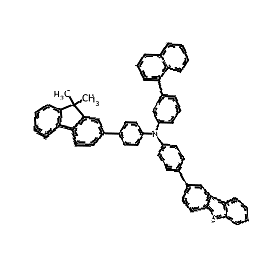 CC1(C)c2ccccc2-c2ccc(-c3ccc(N(c4ccc(-c5ccc6sc7ccccc7c6c5)cc4)c4cccc(-c5cccc6ccccc56)c4)cc3)cc21